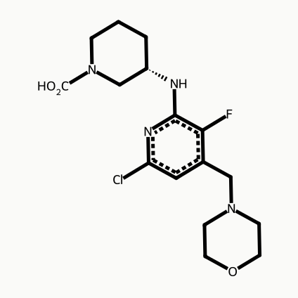 O=C(O)N1CCC[C@H](Nc2nc(Cl)cc(CN3CCOCC3)c2F)C1